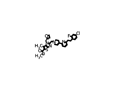 COC(=O)c1sc2nc(CN3CC=C(c4cccc(CCc5ccc(Cl)cc5F)n4)CC3)n(C[C@@H]3CCO3)c2c1C